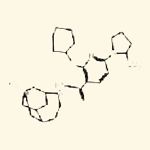 O=C(N[C@@H]1CCC2C[C@@]3(O)CC2CC1C3)c1ccc(N2CCCC2C(=O)O)nc1SC1CCCCC1